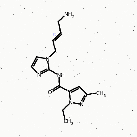 CCn1nc(C)cc1C(=O)Nc1nccn1C/C=C/CN